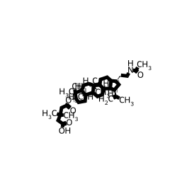 C=C(C)[C@@H]1C[C@@H](CCNC(C)=O)C2CC[C@]3(C)[C@H](CC[C@@H]4[C@@]5(C)CC[C@H](OC(=O)CC(C)(C)CC(=O)O)C(C)(C)[C@@H]5CC[C@]43C)[C@H]21